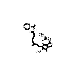 COc1c(C)c2c(c(OC(=O)C(C)(C)C)c1C/C=C(\C)CCC(=O)OC(C)N1CCOCC1)C(=O)OC2